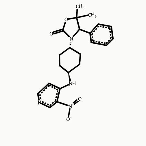 CC1(C)OC(=O)N([C@H]2CC[C@H](Nc3ccncc3[N+](=O)[O-])CC2)C1c1ccccc1